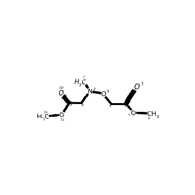 COC(=O)CON(C)CC(=O)OC